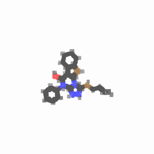 C=CCSc1nnc2n(-c3ccccc3)c(=O)c3c4c(sc3n12)CCCC4